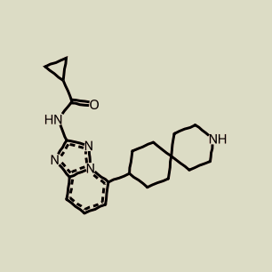 O=C(Nc1nc2cccc(C3CCC4(CCNCC4)CC3)n2n1)C1CC1